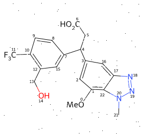 COc1cc(C(CC(=O)O)c2ccc(C(F)(F)F)c(CO)c2)cc2nnn(C)c12